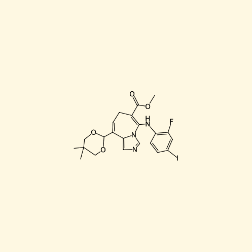 COC(=O)C1=C(Nc2ccc(I)cc2F)n2cncc2C(C2OCC(C)(C)CO2)=CC1